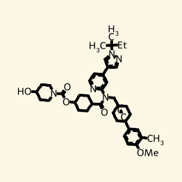 CCC(C)(C)n1cc(-c2ccnc(N(CC34CCC(c5ccc(OC)c(C)c5)(CC3)CC4)C(=O)C3CCC(OC(=O)N4CCC(O)CC4)CC3)c2)cn1